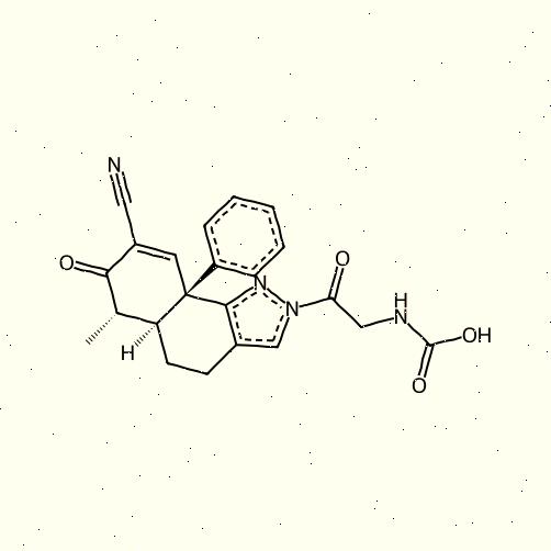 C[C@@H]1C(=O)C(C#N)=C[C@]2(c3ccccc3)c3nn(C(=O)CNC(=O)O)cc3CC[C@@H]12